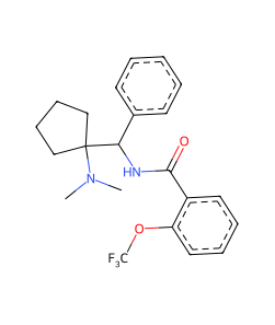 CN(C)C1(C(NC(=O)c2ccccc2OC(F)(F)F)c2ccccc2)CCCC1